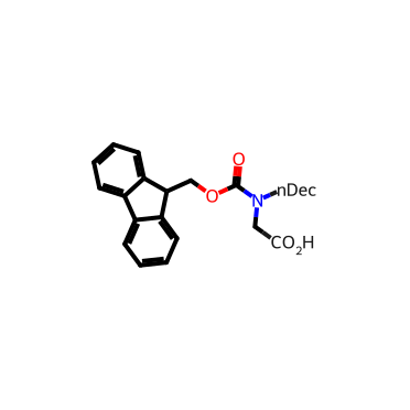 CCCCCCCCCCN(CC(=O)O)C(=O)OCC1c2ccccc2-c2ccccc21